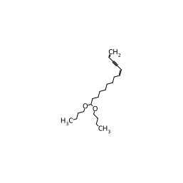 C=CC#C/C=C\CCCCCCCC(OCCCC)OCCCC